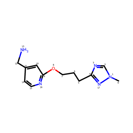 Cn1cnc(CCCOc2cc(CN)ccn2)n1